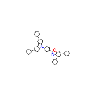 c1ccc(-c2cc(-c3ccccc3)c3nc(-c4ccc(-n5c6ccc(-c7ccccc7)cc6c6cc(-c7ccccc7)ccc65)cc4)oc3c2)cc1